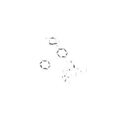 CC(COc1ccc(-n2cncn2)cc1)(NS(C)(=O)=O)C(N)=O.c1ccccc1